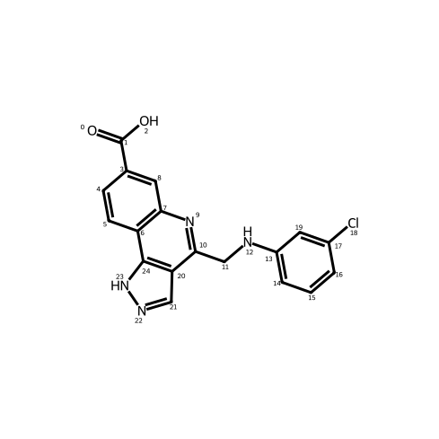 O=C(O)c1ccc2c(c1)nc(CNc1cccc(Cl)c1)c1cn[nH]c12